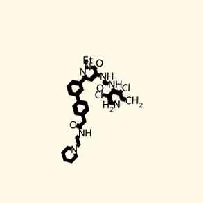 C=C/C(Cl)=C(NC(=O)Nc1cc(-c2cccc(-c3ccc(CC(=O)NCCN4CCCCC4)cc3)c2)nn(CC)c1=O)\C(Cl)=C/N